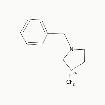 FC(F)(F)[C@H]1CCN(Cc2ccccc2)C1